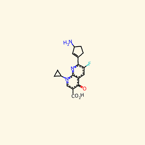 NC1C=C(c2nc3c(cc2F)c(=O)c(C(=O)O)cn3C2CC2)CC1